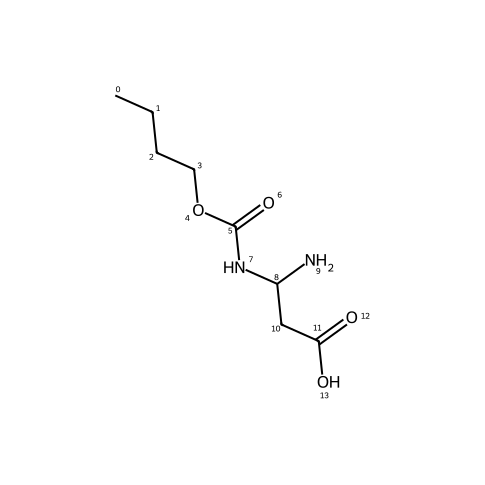 CCCCOC(=O)NC(N)CC(=O)O